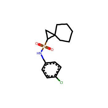 O=S(=O)(Nc1ccc(Cl)cc1)C1CC12CCCCC2